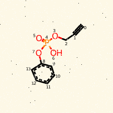 C#CCOP(=O)(O)Oc1ccccc1